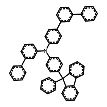 c1ccc(-c2cccc(-c3ccc(N(c4ccc(C5(c6ccccc6)c6ccccc6-c6ccccc65)cc4)c4cccc(-c5ccccc5)c4)cc3)c2)cc1